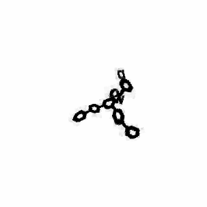 Clc1cccc(-c2nc3c(-c4ccc(-c5ccccc5)cc4)cc(-c4ccc(-c5ccccc5)cc4)cc3o2)c1